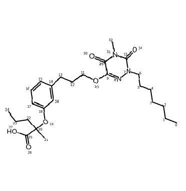 CCCCCCCn1nc(OCCCc2cccc(OC(C)(CCC)C(=O)O)c2)c(=O)n(C)c1=O